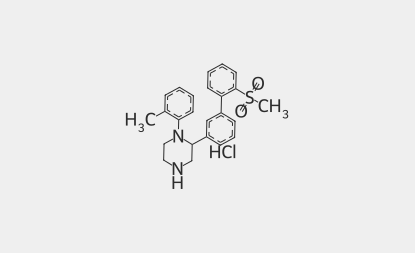 Cc1ccccc1N1CCNCC1c1cccc(-c2ccccc2S(C)(=O)=O)c1.Cl